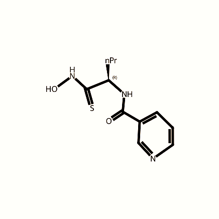 CCC[C@@H](NC(=O)c1cccnc1)C(=S)NO